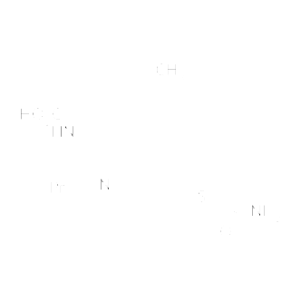 Cc1ccc(-c2c(CNC(=O)O)c(CC(C)C)nc3ccc(CSCC(N)=O)cc23)cc1